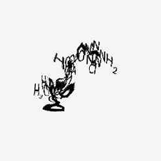 C[C@H](NP(=O)(OPOP(=O)(O)OC[C@@H]1CC[C@H](n2cnc3c(N)nc(Cl)nc32)O1)Oc1ccccc1)C(=O)OCc1ccccc1